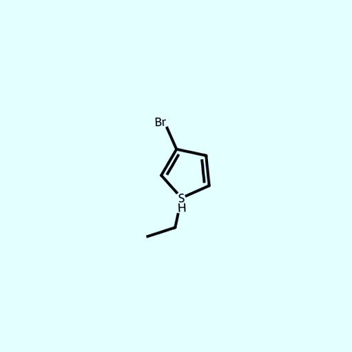 CC[SH]1C=CC(Br)=C1